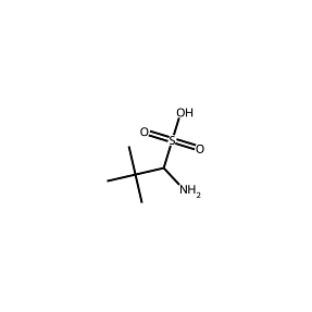 CC(C)(C)C(N)S(=O)(=O)O